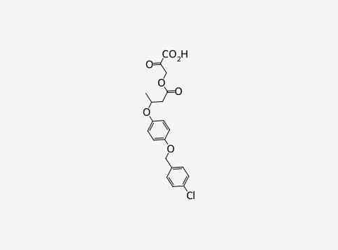 CC(CC(=O)OCC(=O)C(=O)O)Oc1ccc(OCc2ccc(Cl)cc2)cc1